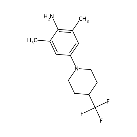 Cc1cc(N2CCC(C(F)(F)F)CC2)cc(C)c1N